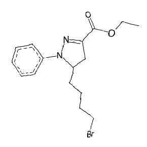 CCOC(=O)C1=NN(c2ccccc2)C(CCCCBr)C1